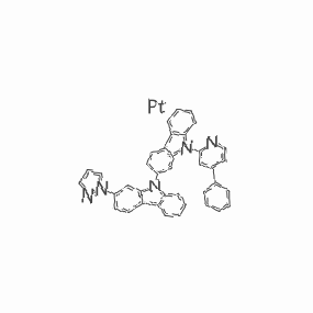 [Pt].c1ccc(-c2ccnc(-n3c4ccccc4c4ccc(-n5c6ccccc6c6ccc(-n7cccn7)cc65)cc43)c2)cc1